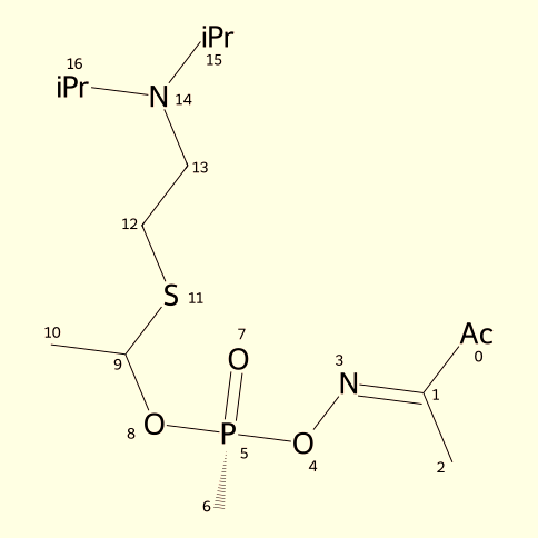 CC(=O)/C(C)=N/O[P@](C)(=O)OC(C)SCCN(C(C)C)C(C)C